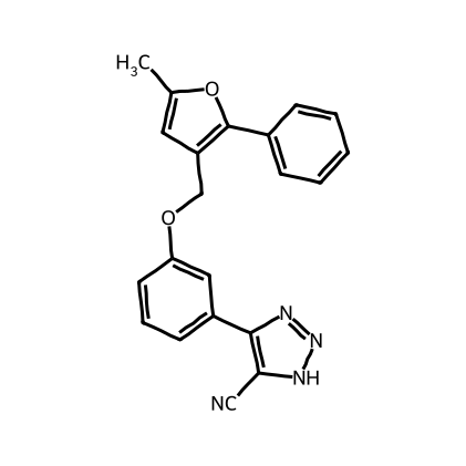 Cc1cc(COc2cccc(-c3nn[nH]c3C#N)c2)c(-c2ccccc2)o1